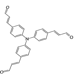 O=CC=Cc1ccc(N(c2ccc(C=CC=O)cc2)c2ccc(C=CC=O)cc2)cc1